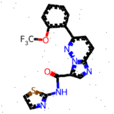 O=C(Nc1nccs1)c1cnc2ccc(-c3ccccc3OC(F)(F)F)nn12